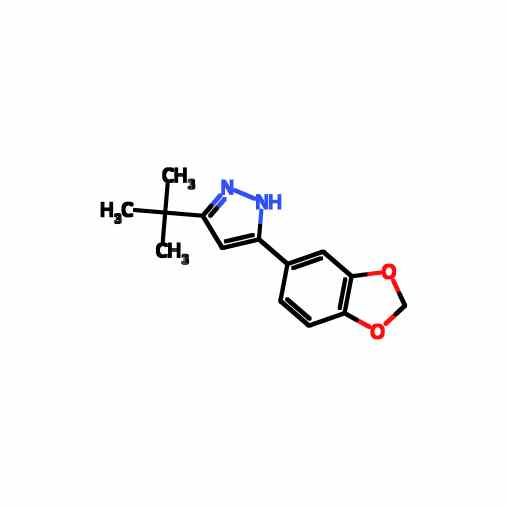 CC(C)(C)c1cc(-c2ccc3c(c2)OCO3)[nH]n1